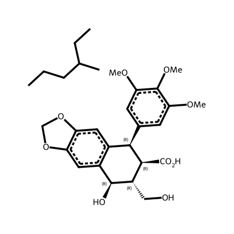 CCCC(C)CC.COc1cc([C@@H]2c3cc4c(cc3[C@H](O)[C@@H](CO)[C@@H]2C(=O)O)OCO4)cc(OC)c1OC